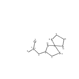 C[S+]([O-])CC1CSC2(SCCS2)S1